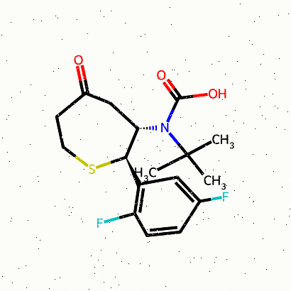 CC(C)(C)N(C(=O)O)[C@H]1CC(=O)CCS[C@@H]1c1cc(F)ccc1F